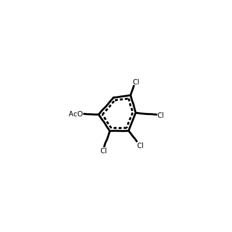 CC(=O)Oc1cc(Cl)c(Cl)c(Cl)c1Cl